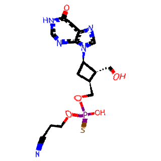 N#CCCOP(O)(=S)OC[C@H]1C[C@@H](n2cnc3c(=O)[nH]cnc32)[C@@H]1CO